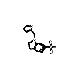 CS(=O)(=O)c1ccc2c(c1)N(CC1=CCC=N1)CC2